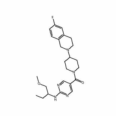 CCC(COC)Nc1ncc(C(=O)N2CCC(N3CCc4cc(F)ccc4C3)CC2)cn1